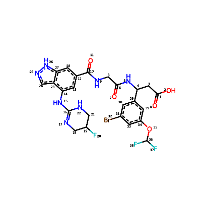 O=C(O)CC(NC(=O)CNC(=O)c1cc(NC2=NCC(F)CN2)c2cn[nH]c2c1)c1cc(Br)cc(OC(F)F)c1